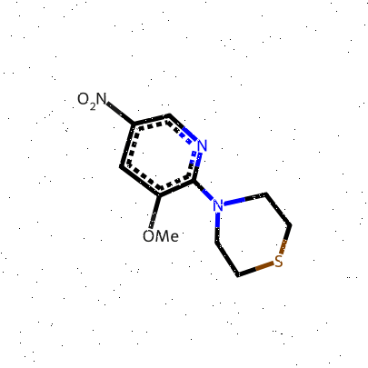 COc1cc([N+](=O)[O-])cnc1N1CCSCC1